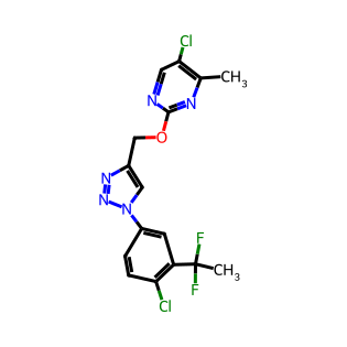 Cc1nc(OCc2cn(-c3ccc(Cl)c(C(C)(F)F)c3)nn2)ncc1Cl